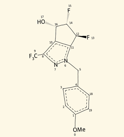 COc1ccc(Cn2nc(C(F)(F)F)c3c2[C@H](F)[C@@H](F)[C@H]3O)cc1